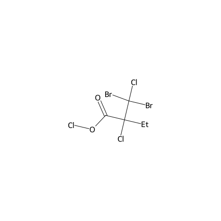 CCC(Cl)(C(=O)OCl)C(Cl)(Br)Br